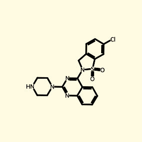 O=S1(=O)c2cc(Cl)ccc2CN1c1nc(N2CCNCC2)nc2ccccc12